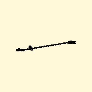 CCCCCCCCCCCCCCCCCCCCCCCCCCCCCCCCCCCCCCCCOC(=O)CCCCCCCCCCCCCCC